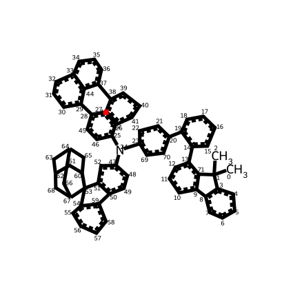 CC1(C)c2ccccc2-c2cccc(-c3ccccc3-c3ccc(N(c4ccc(-c5cccc6cccc(-c7ccccc7)c56)cc4)c4ccc5c(c4)C4(c6ccccc6-5)C5CC6CC(C5)CC4C6)cc3)c21